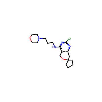 Clc1nc2c(c(NCCCN3CCOCC3)n1)COC1(CCCC1)C2